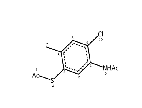 CC(=O)Nc1cc(SC(C)=O)c(C)cc1Cl